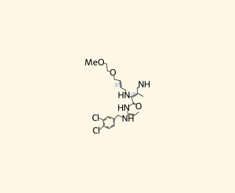 CC=C(NCc1ccc(Cl)c(Cl)c1)NC(=O)/C(NC/C=C/COCCOC)=C(\C)C=N